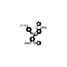 COc1ccc(CC(NCc2ccc(NC(C)=O)cc2)c2ccc(OC)c(OC3CCCC3)c2)cc1OC1CCCC1